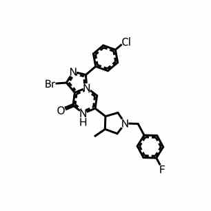 CC1CN(Cc2ccc(F)cc2)CC1c1cn2c(-c3ccc(Cl)cc3)nc(Br)c2c(=O)[nH]1